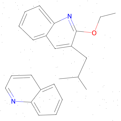 CCOc1nc2ccccc2cc1CC(C)C.c1ccc2ncccc2c1